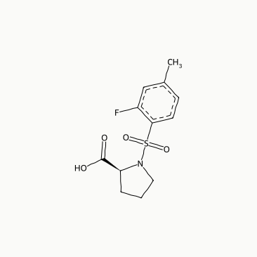 Cc1ccc(S(=O)(=O)N2CCC[C@H]2C(=O)O)c(F)c1